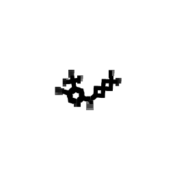 FC1(F)CC2(CC(Nc3cc(C(F)(F)F)c(Br)cn3)C2)C1